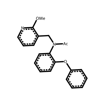 COc1ncccc1CN(C(C)=O)c1ccccc1Oc1ccccc1